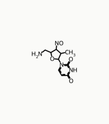 CC1C(N=O)C(CN)OC1n1ccc(=O)[nH]c1=O